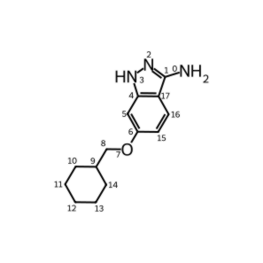 Nc1n[nH]c2cc(OCC3CCCCC3)ccc12